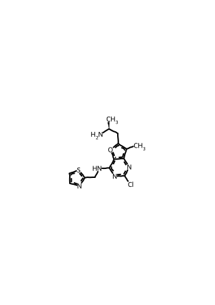 Cc1c(C[C@H](C)N)oc2c(NCc3nccs3)nc(Cl)nc12